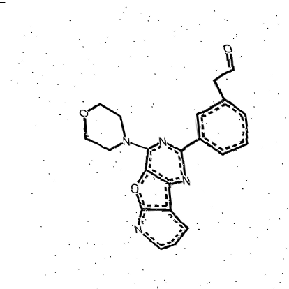 O=CCc1cccc(-c2nc(N3CCOCC3)c3oc4ncccc4c3n2)c1